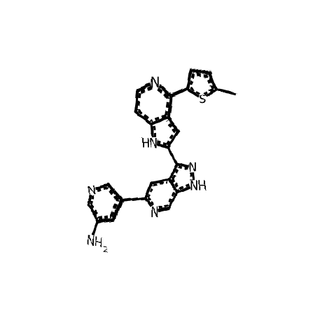 Cc1ccc(-c2nccc3[nH]c(-c4n[nH]c5cnc(-c6cncc(N)c6)cc45)cc23)s1